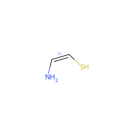 N/C=C\S